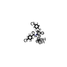 O=C(/N=c1\sn(Cc2ccc(Cl)cc2)c(=O)n1COP(=O)(O)O)c1ccc(Cl)cc1